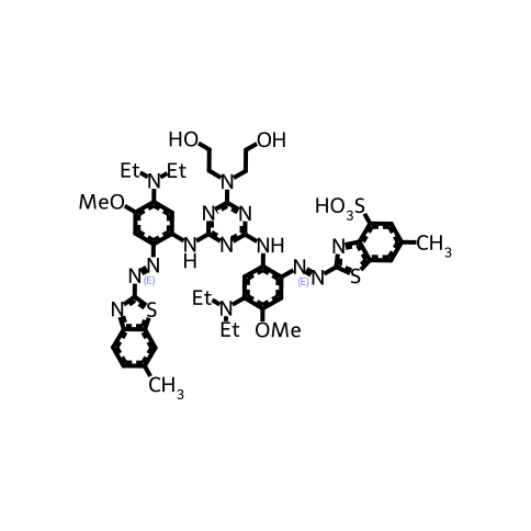 CCN(CC)c1cc(Nc2nc(Nc3cc(N(CC)CC)c(OC)cc3/N=N/c3nc4c(S(=O)(=O)O)cc(C)cc4s3)nc(N(CCO)CCO)n2)c(/N=N/c2nc3ccc(C)cc3s2)cc1OC